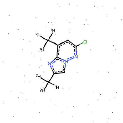 [2H]C([2H])([2H])c1cn2nc(Cl)cc(C([2H])([2H])[2H])c2n1